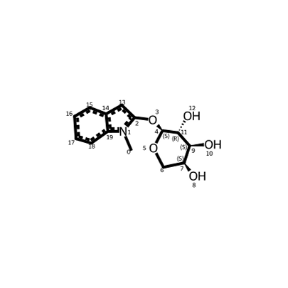 Cn1c(O[C@@H]2OC[C@H](O)[C@H](O)[C@H]2O)cc2ccccc21